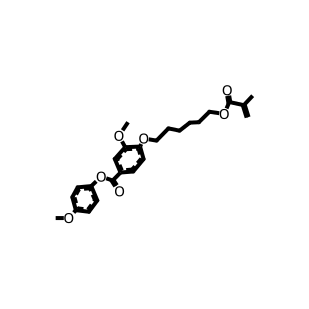 C=C(C)C(=O)OCCCCCCOc1ccc(C(=O)Oc2ccc(OC)cc2)cc1OC